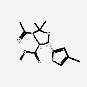 COC(=O)[C@@H]1[C@@H](c2cc(C)cs2)OC(C)(C)N1C(C)=O